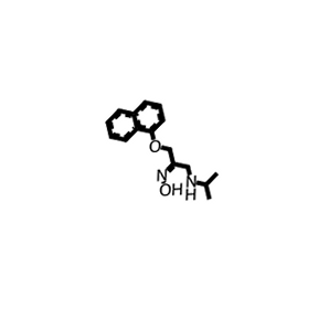 CC(C)NCC(COc1cccc2ccccc12)=NO